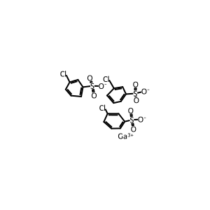 O=S(=O)([O-])c1cccc(Cl)c1.O=S(=O)([O-])c1cccc(Cl)c1.O=S(=O)([O-])c1cccc(Cl)c1.[Ga+3]